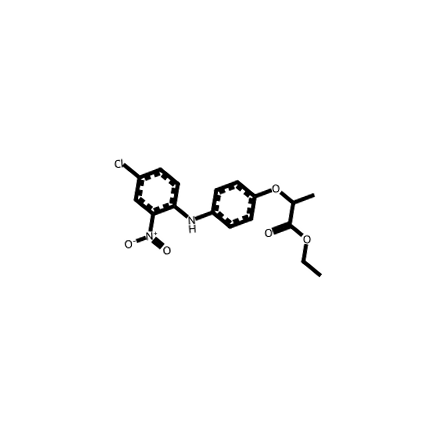 CCOC(=O)C(C)Oc1ccc(Nc2ccc(Cl)cc2[N+](=O)[O-])cc1